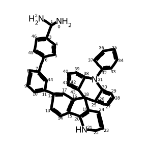 NC(N)c1ccc(-c2cccc(-c3ccc4c(c3)C3(C5=C4NCC=C5)c4ccccc4N(c4ccccc4)c4ccccc43)c2)cc1